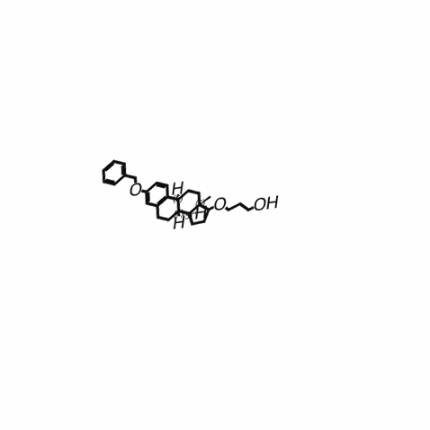 C[C@]12CC[C@@H]3c4ccc(OCc5ccccc5)cc4CC[C@H]3[C@@H]1CCC2OCCCO